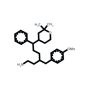 COc1ccc(CC(CCN)CCC(c2ccccc2)C2CCOC(C)(C)C2)cc1